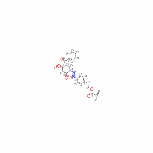 C=C(C)C(=O)OCCc1ccc(/N=N/c2cc(C(=O)c3ccccc3)c(O)cc2O)cc1